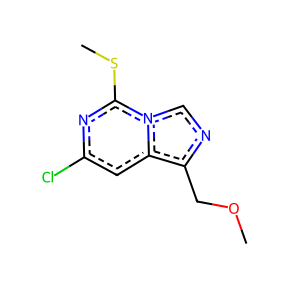 COCc1ncn2c(SC)nc(Cl)cc12